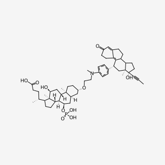 CC#C[C@]1(O)CCC2C3CCC4=CC(=O)CCC4=C3[C@@H](c3ccc(N(C)CCO[C@H]4CC[C@@]5(C)[C@@H](C4)C[C@@H](OP(=O)(O)O)[C@@H]4[C@@H]5C[C@H](O)[C@]5(C)C([C@H](C)CCC(=O)O)CC[C@@H]45)cc3)C[C@@]21C